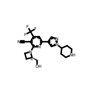 N#Cc1c(C(F)(F)F)cc(-c2cnn(C3CCNCC3)c2)nc1N1CC[C@@H]1CO